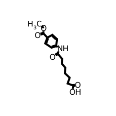 COC(=O)c1ccc(NC(=O)CCCCCCC(=O)O)cc1